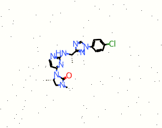 C[C@H](Nc1nccc(N2C(=O)N(C)C[C@@H]2C)n1)c1ncn(-c2ccc(Cl)cc2)n1